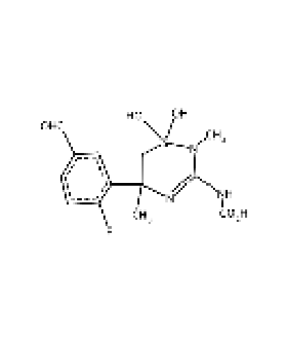 CN1C(NC(=O)O)=NC(C)(c2cc(C=O)ccc2F)CS1(O)O